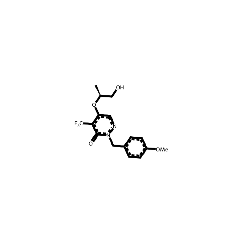 COc1ccc(Cn2ncc(O[C@@H](C)CO)c(C(F)(F)F)c2=O)cc1